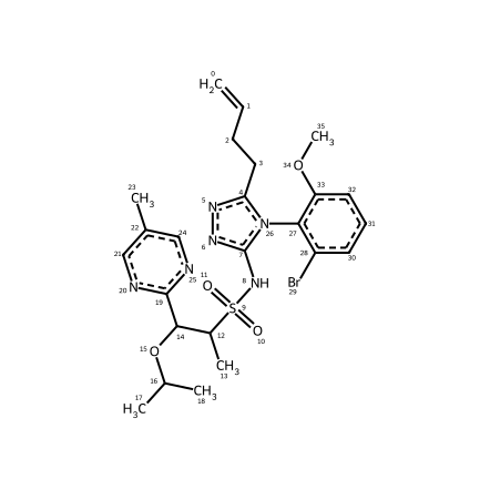 C=CCCc1nnc(NS(=O)(=O)C(C)C(OC(C)C)c2ncc(C)cn2)n1-c1c(Br)cccc1OC